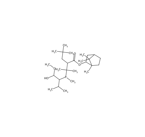 COC(O)C(C(C)C)P(C)C(C)(C)C(CC(C)(C)C)C(=O)OC1CC2CCC1(C)C2(C)C